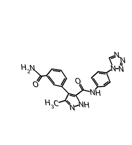 Cc1n[nH]c(C(=O)Nc2ccc(-n3cnnn3)cc2)c1-c1cccc(C(N)=O)c1